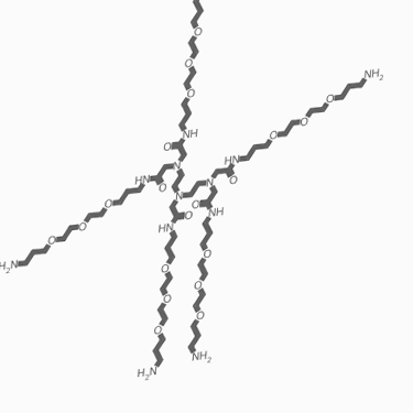 NCCCOCCOCCOCCCNC(=O)CN(CCN(CC(=O)NCCCOCCOCCOCCCN)CC(=O)NCCCOCCOCCOCCCN)CCN(CC(=O)NCCCOCCOCCOCCCN)CC(=O)NCCCOCCOCCOCCCN